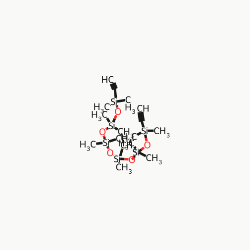 C#C[Si](C)(C)O[Si](C)(C)O[Si](C)(C)O[Si](C)(C)O[Si](C)(C)O[Si](C)(C)C#C